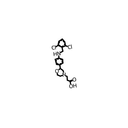 O=C(O)CCN1CCOC(c2ccc(NCc3c(Cl)cccc3Cl)cc2)C1